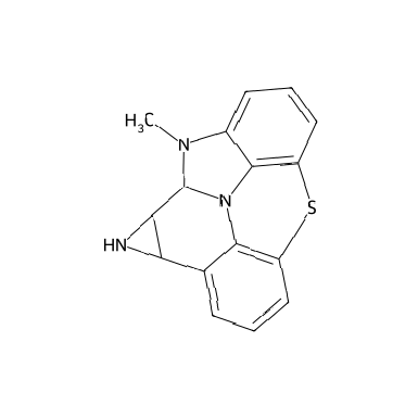 CN1c2cccc3c2N2c4c(cccc4C4NC4C12)S3